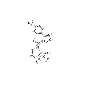 Cc1ccc(-c2nocc2C(=O)N2CCC[C@@H](C(C)(C)O)C2)cc1